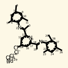 CC(=Nc1c(C)cc(C)cc1C)c1cc(Cl)cc(C(C)=Nc2c(C)cc(C)cc2C)n1.[Cl-].[Cl-].[Cl-].[Nd+3]